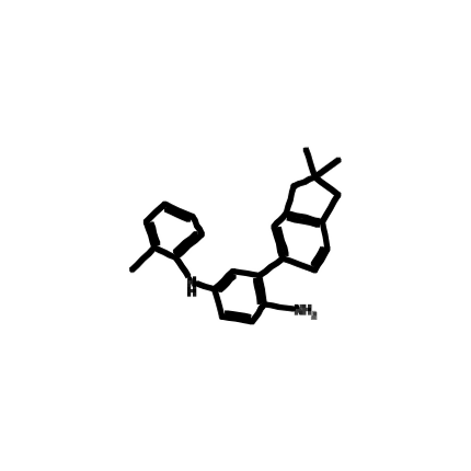 Cc1ccccc1Nc1ccc(N)c(-c2ccc3c(c2)CC(C)(C)C3)c1